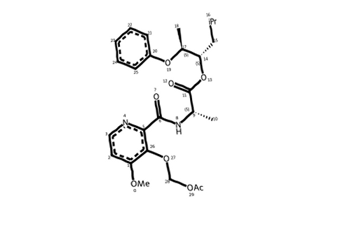 COc1ccnc(C(=O)N[C@@H](C)C(=O)O[C@@H](CC(C)C)[C@H](C)Oc2ccccc2)c1OCOC(C)=O